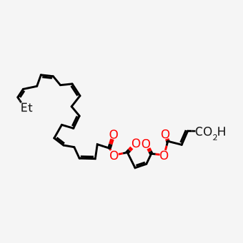 CC/C=C\C/C=C\C/C=C\C/C=C\C/C=C\C/C=C\CC(=O)OC(=O)/C=C\C(=O)OC(=O)/C=C/C(=O)O